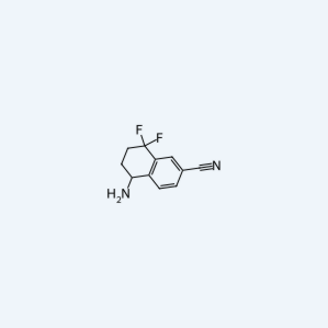 N#Cc1ccc2c(c1)C(F)(F)CCC2N